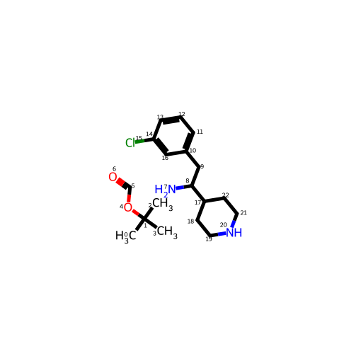 CC(C)(C)OC=O.NC(Cc1cccc(Cl)c1)C1CCNCC1